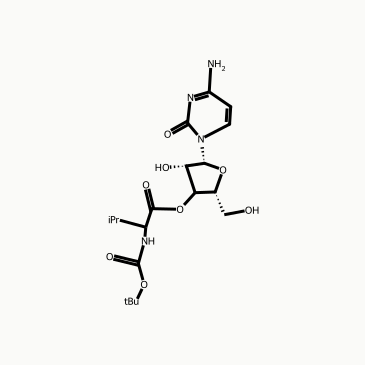 CC(C)C(NC(=O)OC(C)(C)C)C(=O)OC1[C@@H](CO)O[C@@H](n2ccc(N)nc2=O)[C@H]1O